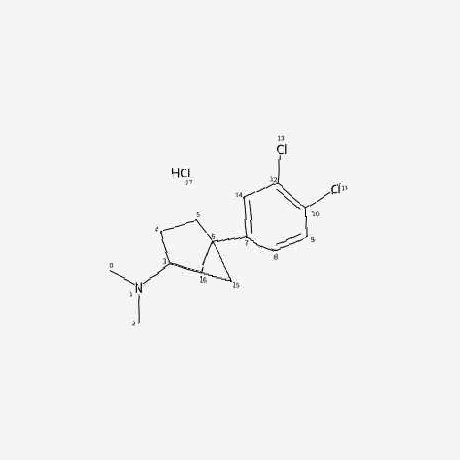 CN(C)C1CCC2(c3ccc(Cl)c(Cl)c3)CC12.Cl